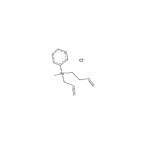 C=CCC[N+](C)(CC=C)c1ccccc1.[Cl-]